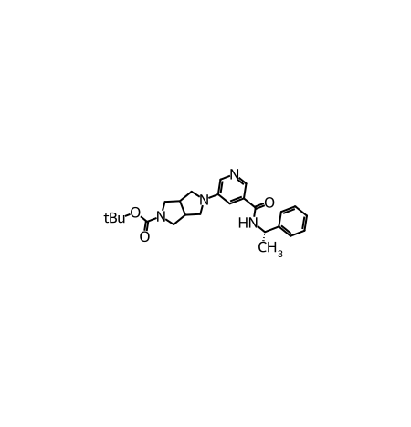 C[C@H](NC(=O)c1cncc(N2CC3CN(C(=O)OC(C)(C)C)CC3C2)c1)c1ccccc1